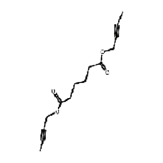 CC#CCOC(=O)CCCCC(=O)OCC#CC